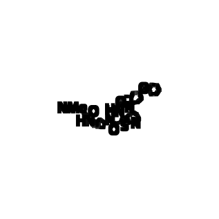 CNCC(=O)N[C@@H]1CCC(NC(=O)c2sc3nccc4c3c2NC(=O)N4c2ccc(Oc3ccccc3)cc2C)C1